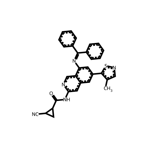 Cc1cnsc1-c1cc(N=C(c2ccccc2)c2ccccc2)c2cnc(NC(=O)C3CC3C#N)cc2c1